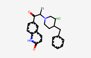 CCC(C(=O)c1ccc2[nH]c(=O)ccc2c1)N1CCC(Cc2ccccc2)CC1.Cl